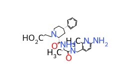 Cc1nc(N)ccc1CNC(=O)[C@H](C)NC(=O)[C@H]1C[C@@H](c2ccccc2)CCN1CCC(=O)O